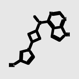 CN(c1ncnc2[nH]ccc12)C1CC(n2ccc(C#N)c2)C1